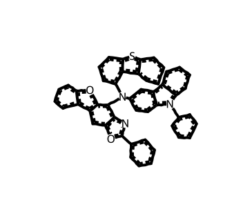 c1ccc(-c2nc3c(N(c4ccc5c(c4)c4ccccc4n5-c4ccccc4)c4cccc5sc6ccccc6c45)c4oc5ccccc5c4cc3o2)cc1